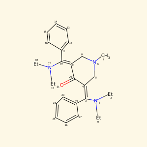 CCN(CC)C(=C1CN(C)CC(=C(c2ccccc2)N(CC)CC)C1=O)c1ccccc1